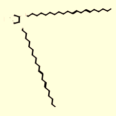 CCCCCC=CCC=CCCCCCCCCCCO[C@@H]1CNC[C@H]1OCCCCCCCCCCC=CCC=CCCCCC